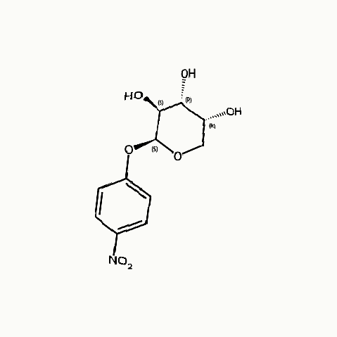 O=[N+]([O-])c1ccc(O[C@@H]2OC[C@@H](O)[C@@H](O)[C@@H]2O)cc1